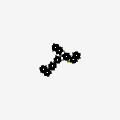 c1ccc2cc(N(c3ccc(-c4ccc(-c5cccc6ccccc56)cc4)cc3)c3ccc4c(c3)sc3ccc5ccccc5c34)ccc2c1